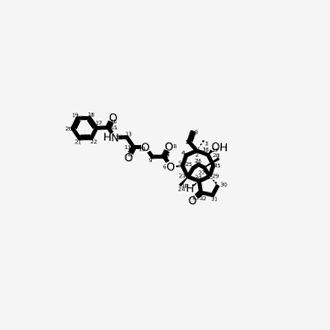 C=C[C@]1(C)C[C@@H](OC(=O)COC(=O)CNC(=O)c2ccccc2)[C@]2(C)CC[C@@H](C)[C@@]3(CCC(=O)[C@@H]23)C[C@@H]1O